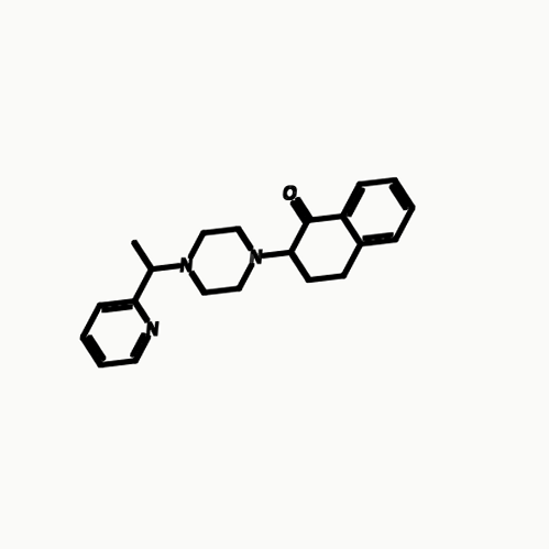 CC(c1ccccn1)N1CCN(C2CCc3ccccc3C2=O)CC1